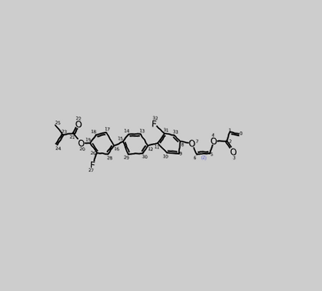 C=CC(=O)O/C=C\Oc1ccc(-c2ccc(-c3ccc(OC(=O)C(=C)C)c(F)c3)cc2)c(F)c1